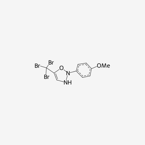 COc1ccc(N2NC=C(C(Br)(Br)Br)O2)cc1